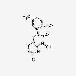 Cc1ccc(C=O)c(N2Cc3cnc(Cl)nc3N(C)C2=O)c1